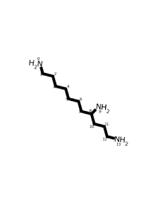 NCCCCCCCC(N)CCCN